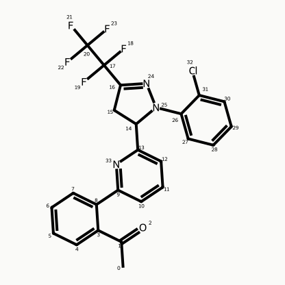 CC(=O)c1ccccc1-c1cccc(C2CC(C(F)(F)C(F)(F)F)=NN2c2ccccc2Cl)n1